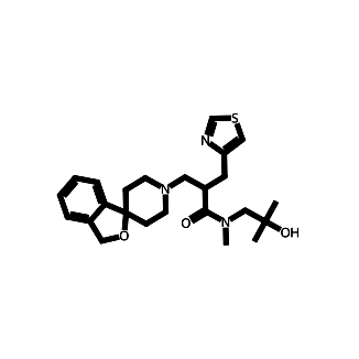 CN(CC(C)(C)O)C(=O)C(Cc1cscn1)CN1CCC2(CC1)OCc1ccccc12